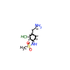 CS(=O)(=O)Nc1ccc(CCN)cc1.Cl